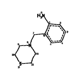 Nc1ccccc1CN1CCSCC1